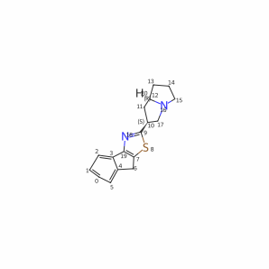 c1ccc2c(c1)Cc1sc([C@H]3C[C@H]4CCCN4C3)nc1-2